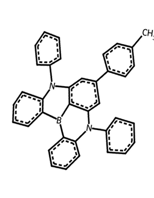 Cc1ccc(-c2cc3c4c(c2)N(c2ccccc2)c2ccccc2B4c2ccccc2N3c2ccccc2)cc1